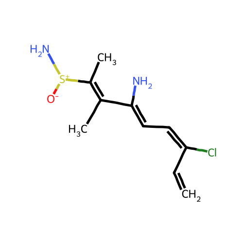 C=C\C(Cl)=C/C=C(N)/C(C)=C(\C)[S+](N)[O-]